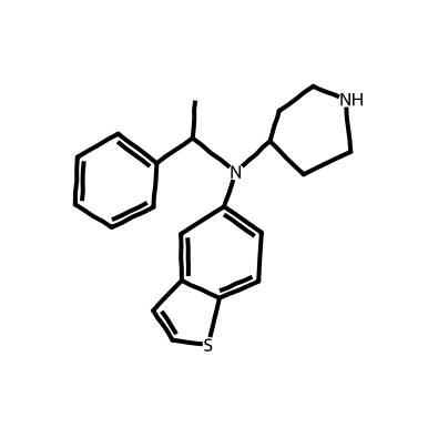 CC(c1ccccc1)N(c1ccc2sccc2c1)C1CCNCC1